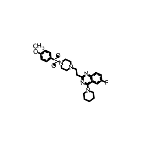 COc1ccc(S(=O)(=O)N2CCN(CCc3nc(N4CCCCC4)c4cc(F)ccc4n3)CC2)cc1